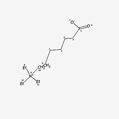 CCCCCC(=O)[O-].CC[N+](C)(CC)CC